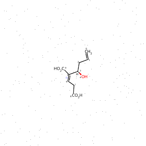 C=CC[C@@H](O)/C(=C\CC(=O)O)C(=O)O